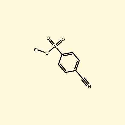 N#Cc1ccc(S(=O)(=O)OCl)cc1